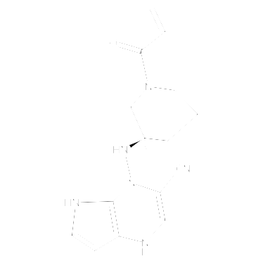 C=CC(=O)N1CCC[C@@H](NN2C(C#N)=CNc3cc[nH]c32)C1